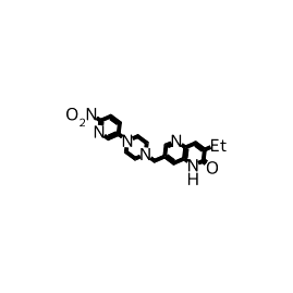 CCc1cc2ncc(CN3CCN(c4ccc([N+](=O)[O-])nc4)CC3)cc2[nH]c1=O